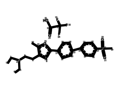 CCN(CC)CCc1nc(-c2ccc(-c3ccc(S(C)(=O)=O)cc3)cc2)oc1C.O=C(O)C(F)(F)F